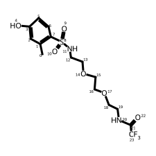 Cc1cc(O)ccc1S(=O)(=O)NCCOCCOCCNC(=O)C(F)(F)F